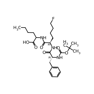 CCCCC(NC(=O)[C@@H](CCCCF)NC(=O)[C@@H](Cc1ccccc1)NC(=O)OC(C)(C)C)C(=O)O